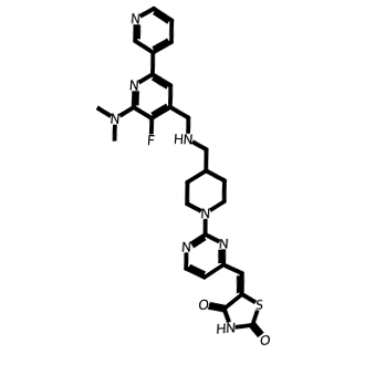 CN(C)c1nc(-c2cccnc2)cc(CNCC2CCN(c3nccc(C=C4SC(=O)NC4=O)n3)CC2)c1F